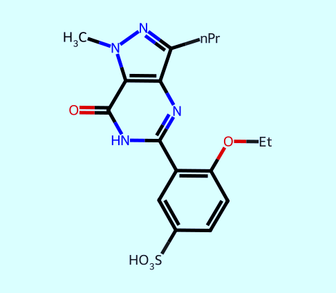 CCCc1nn(C)c2c(=O)[nH]c(-c3cc(S(=O)(=O)O)ccc3OCC)nc12